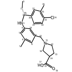 CC[C@@H](Nc1cc(C)cc(CN2CCC(C(=O)O)C2)c1)c1ccc(Cl)c(C)c1